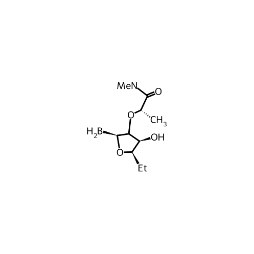 B[C@@H]1O[C@H](CC)[C@H](O)C1O[C@@H](C)C(=O)NC